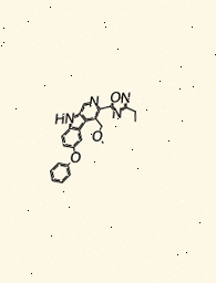 CCc1noc(-c2ncc3[nH]c4ccc(Oc5ccccc5)cc4c3c2COC)n1